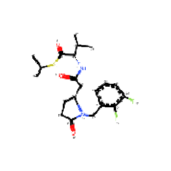 CC(C)SC(=O)[C@@H](NC(=O)C[C@@H]1CCC(=O)N1Cc1cccc(F)c1F)C(C)C